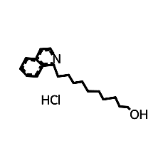 Cl.OCCCCCCCCCCc1nccc2ccccc12